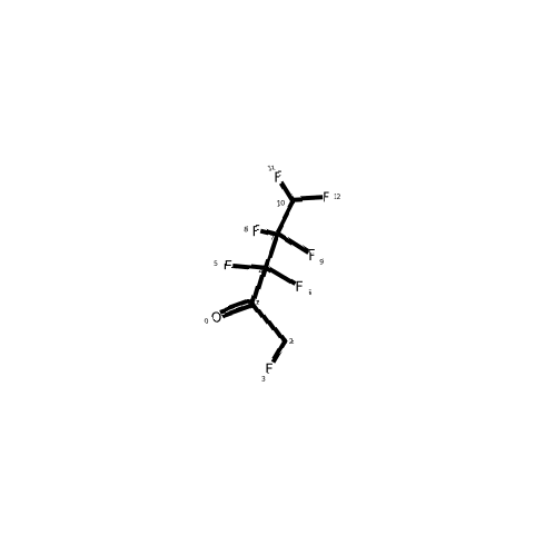 O=C(CF)C(F)(F)C(F)(F)C(F)F